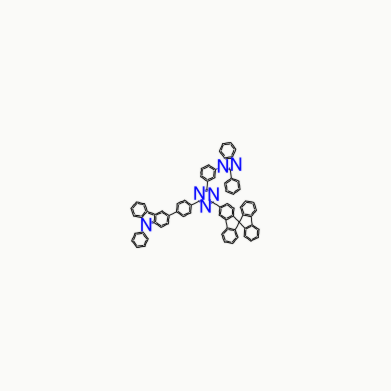 c1ccc(-c2nc3ccccc3n2-c2cccc(-c3nc(-c4ccc(-c5ccc6c(c5)c5ccccc5n6-c5ccccc5)cc4)nc(-c4ccc5c(c4)-c4ccccc4C54c5ccccc5-c5ccccc54)n3)c2)cc1